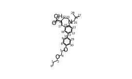 CCCOCCOc1ccc(-c2ccc3c(c2)C=C(C(=O)O)CCN3CC(C)C)cc1